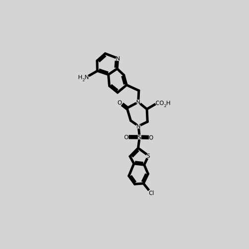 Nc1ccnc2cc(CN3C(=O)CN(S(=O)(=O)c4cc5ccc(Cl)cc5s4)CC3C(=O)O)ccc12